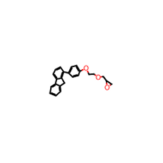 c1ccc2c(c1)Cc1c(-c3ccc(OCCOCC4CO4)cc3)cccc1-2